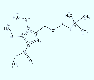 CCC(=O)c1nc(COCC[Si](C)(C)C)c(SC)n1CC